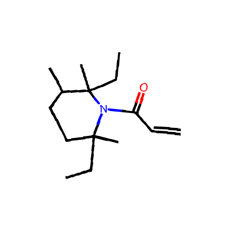 C=CC(=O)N1C(C)(CC)CCC(C)C1(C)CC